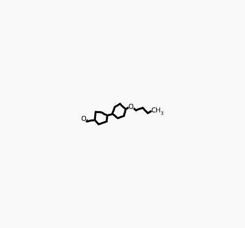 CCCCOC1CCC(C2CCC(C=O)CC2)CC1